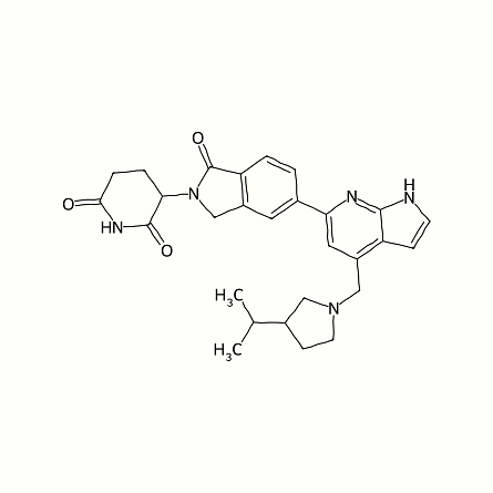 CC(C)C1CCN(Cc2cc(-c3ccc4c(c3)CN(C3CCC(=O)NC3=O)C4=O)nc3[nH]ccc23)C1